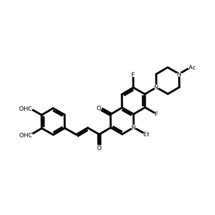 CCn1cc(C(=O)C=Cc2ccc(C=O)c(C=O)c2)c(=O)c2cc(F)c(N3CCN(C(C)=O)CC3)c(F)c21